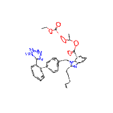 CCCCc1nc2cccc(C(=O)OC(C)OC(=O)OCC)c2n1Cc1ccc(-c2ccccc2-c2nnn[nH]2)cc1